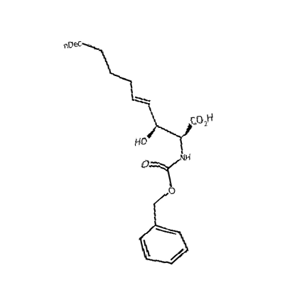 CCCCCCCCCCCCC/C=C/[C@H](O)[C@H](NC(=O)OCc1ccccc1)C(=O)O